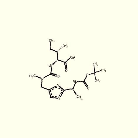 CC[C@H](C)[C@H](NC(=O)N(C)Cc1csc([C@H](C)NC(=O)OC(C)(C)C)n1)C(=O)O